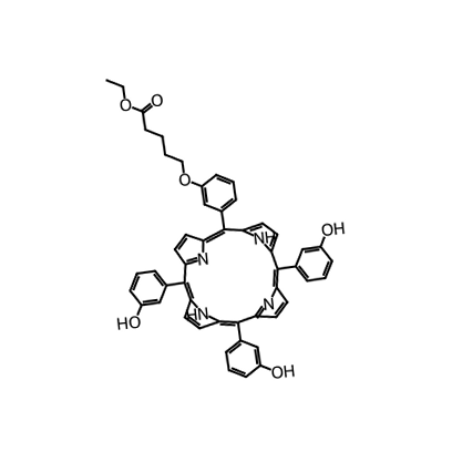 CCOC(=O)CCCCOc1cccc(-c2c3nc(c(-c4cccc(O)c4)c4ccc([nH]4)c(-c4cccc(O)c4)c4nc(c(-c5cccc(O)c5)c5ccc2[nH]5)C=C4)C=C3)c1